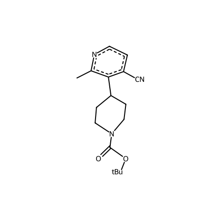 Cc1nccc(C#N)c1C1CCN(C(=O)OC(C)(C)C)CC1